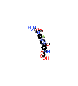 NC[C@H]1CN(c2ccc(N3CCn4c(=O)c5cc(NC(=O)CC(=O)O)ccc5n4CC3)c(F)c2)C(=O)O1